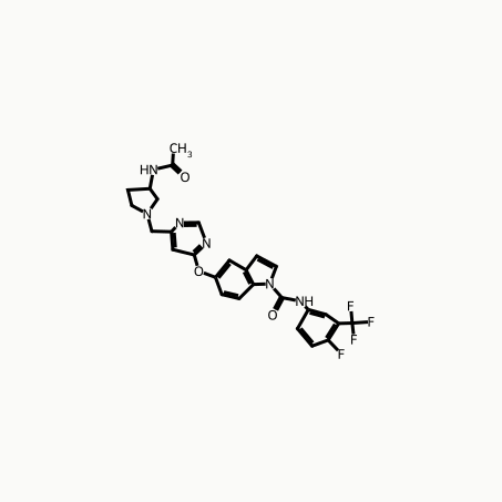 CC(=O)NC1CCN(Cc2cc(Oc3ccc4c(ccn4C(=O)Nc4ccc(F)c(C(F)(F)F)c4)c3)ncn2)C1